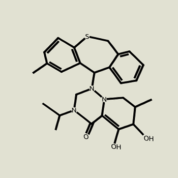 Cc1ccc2c(c1)C(N1CN(C(C)C)C(=O)C3=C(O)C(O)C(C)CN31)c1ccccc1CS2